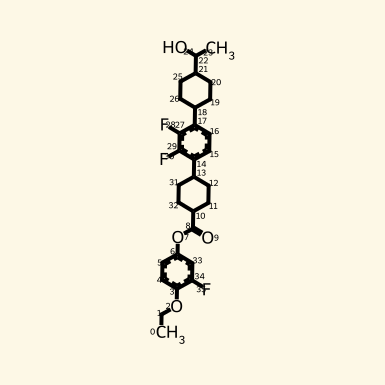 CCOc1ccc(OC(=O)C2CCC(c3ccc(C4CCC(C(C)O)CC4)c(F)c3F)CC2)cc1F